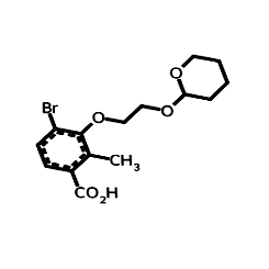 Cc1c(C(=O)O)ccc(Br)c1OCCOC1CCCCO1